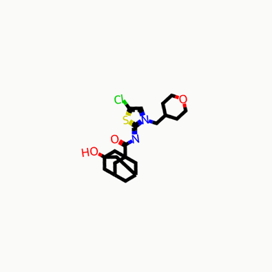 O=C(/N=c1\sc(Cl)cn1CC1CCOCC1)C12CC3CC(CC(O)(C3)C1)C2